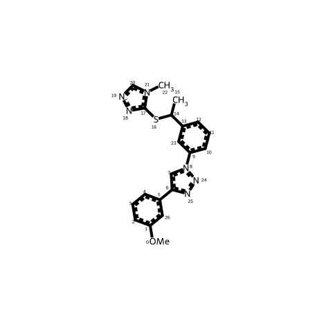 COc1cccc(-c2cn(-c3cccc(C(C)Sc4nncn4C)c3)nn2)c1